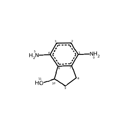 Nc1ccc(N)c2c1CCC2O